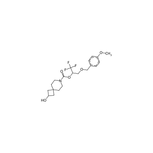 COc1ccc(COCC(OC(=O)N2CCC3(CC2)CC(O)C3)C(F)(F)F)cc1